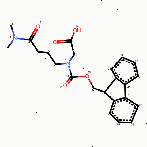 CN(C)C(=O)CCCN(CC(=O)O)C(=O)OCC1c2ccccc2-c2ccccc21